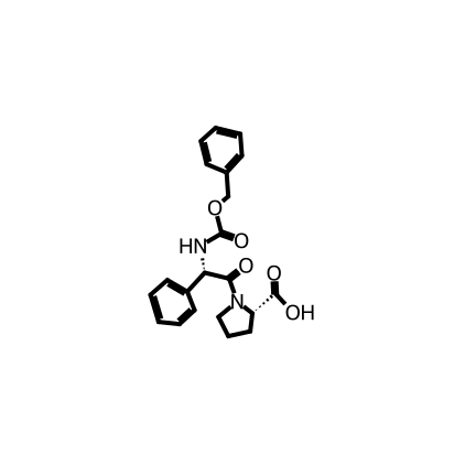 O=C(N[C@H](C(=O)N1CCC[C@H]1C(=O)O)c1ccccc1)OCc1ccccc1